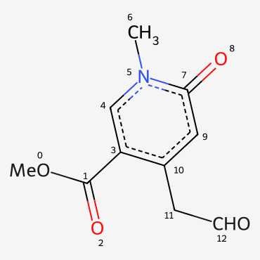 COC(=O)c1cn(C)c(=O)cc1CC=O